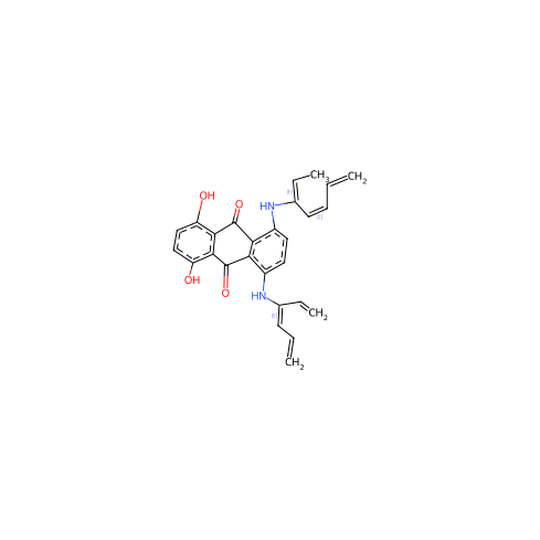 C=C/C=C\C(=C/C)Nc1ccc(N/C(C=C)=C/C=C)c2c1C(=O)c1c(O)ccc(O)c1C2=O